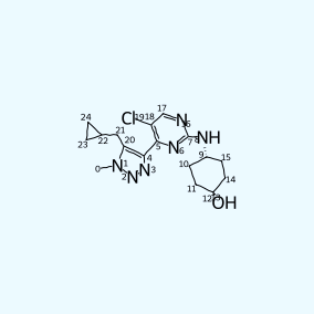 Cn1nnc(-c2nc(N[C@H]3CC[C@H](O)CC3)ncc2Cl)c1CC1CC1